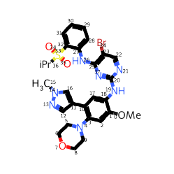 COc1cc(N2CCOCC2)c(-c2cnn(C)c2)cc1Nc1ncc(Br)c(Nc2ccccc2S(=O)(=O)C(C)C)n1